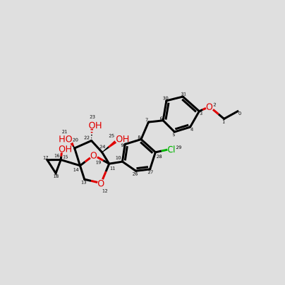 CCOc1ccc(Cc2cc(C34OCC(C5(O)CC5)(O3)[C@@H](O)[C@H](O)[C@H]4O)ccc2Cl)cc1